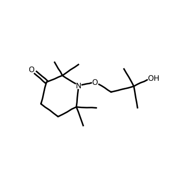 CC(C)(O)CON1C(C)(C)CCC(=O)C1(C)C